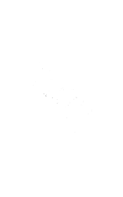 CCOc1cc(NC2CCOCC2)ccc1C(=O)O